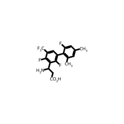 Cc1cc(C)c(-c2cc(C(F)(F)F)c(F)c(C(N)CC(=O)O)c2F)c(F)c1